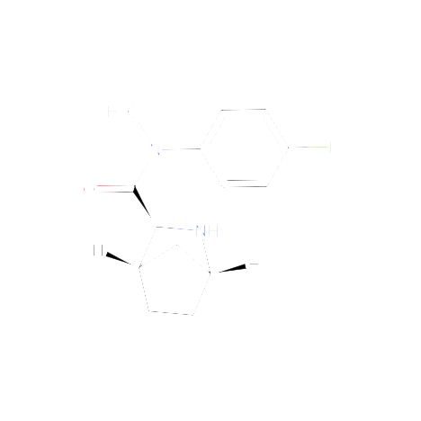 CN(C(=O)[C@H]1N[C@@H]2CC[C@H]1C2)c1ccc(F)cc1